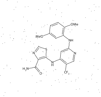 COc1ccc(OC)c(Nc2cc(Nc3scnc3C(N)=O)c(C(F)(F)F)cn2)c1